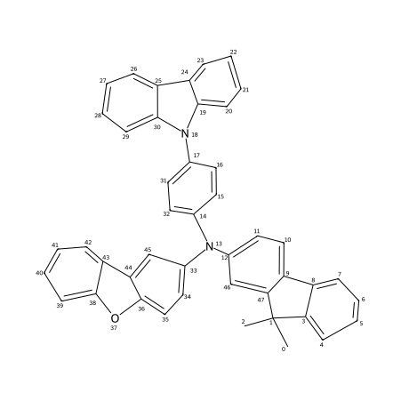 CC1(C)c2ccccc2-c2ccc(N(c3ccc(-n4c5ccccc5c5ccccc54)cc3)c3ccc4oc5ccccc5c4c3)cc21